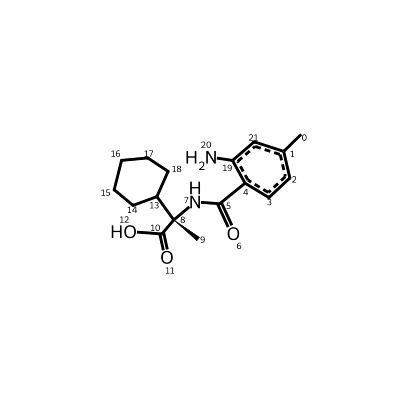 Cc1ccc(C(=O)N[C@](C)(C(=O)O)C2CCCCC2)c(N)c1